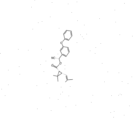 CC(C)=C[C@H]1[C@@H](C(=O)O[C@H](C#N)c2cccc(Oc3ccccc3)c2)C1(C)C